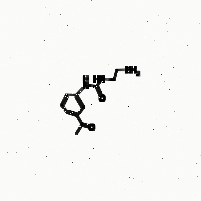 CC(=O)c1cccc(NC(=O)NCCN)c1